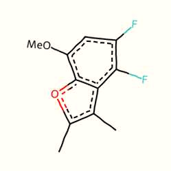 COc1cc(F)c(F)c2c(C)c(C)oc12